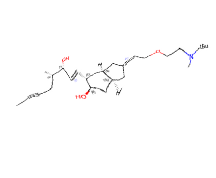 CC#CC[C@H](C)[C@H](O)/C=C/[C@@H]1[C@H]2C/C(=C/COCCN(C)C(C)(C)C)C[C@H]2C[C@H]1O